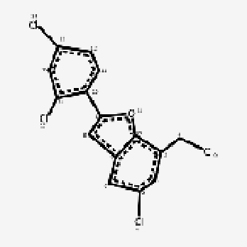 ClCc1cc(Cl)cc2cc(-c3ccc(Cl)cc3Cl)oc12